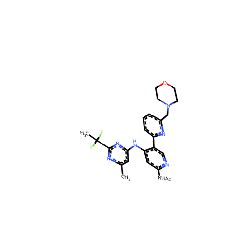 CC(=O)Nc1cc(Nc2cc(C)nc(C(C)(F)F)n2)c(-c2cccc(CN3CCOCC3)n2)cn1